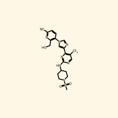 CS(=O)(=O)N1CCC(Nc2ncc(C(F)(F)F)c(-c3cn(-c4ccc(C#N)nc4CO)cn3)n2)CC1